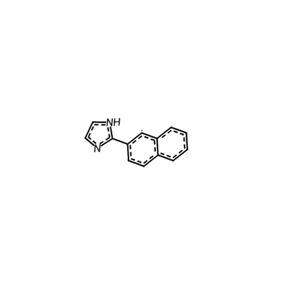 [c]1c(-c2ncc[nH]2)ccc2ccccc12